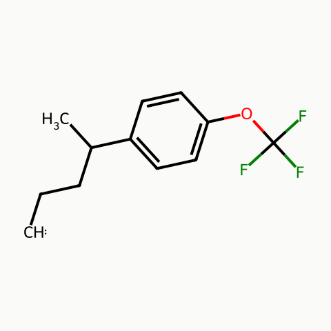 [CH]CCC(C)c1ccc(OC(F)(F)F)cc1